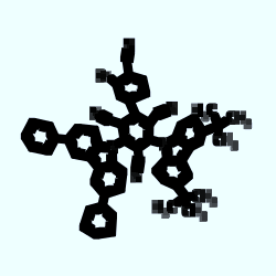 CC(C)(C)c1ccc2c(c1)c1cc(C(C)(C)C)ccc1n2-c1c(C#N)c(-c2ccc(C#N)c(Br)c2)c(C#N)c(-n2c3ccc(-c4ccccc4)cc3c3cc(-c4ccccc4)ccc32)c1C#N